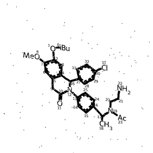 CCC(C)Oc1cc2c(cc1OC)CC(=O)N(c1ccc(C(C)N(CCN)C(C)=O)cc1)C2c1ccc(Cl)cc1